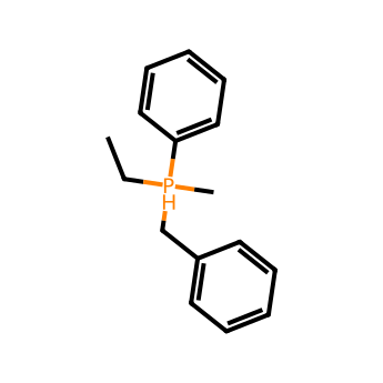 CC[PH](C)(Cc1ccccc1)c1ccccc1